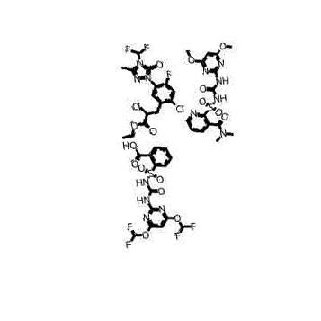 CCOC(=O)C(Cl)Cc1cc(-n2nc(C)n(C(F)F)c2=O)c(F)cc1Cl.COc1cc(OC)nc(NC(=O)NS(=O)(=O)c2ncccc2C(=O)N(C)C)n1.O=C(Nc1nc(OC(F)F)cc(OC(F)F)n1)NS(=O)(=O)c1ccccc1C(=O)O